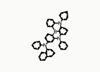 c1ccc(N2c3ccccc3B3c4ccc(N(c5ccccc5)c5cccc6ccccc56)cc4N(c4ccccc4)c4cccc2c43)cc1